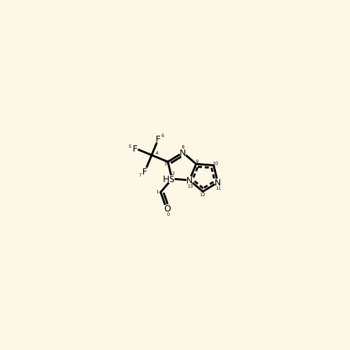 O=C[SH]1C(C(F)(F)F)=Nc2cncn21